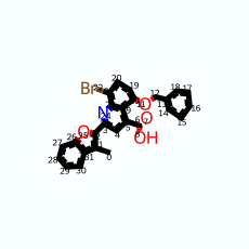 Cc1c(-c2cc(C(=O)O)c3c(OCc4ccccc4)ccc(Br)c3n2)oc2ccccc12